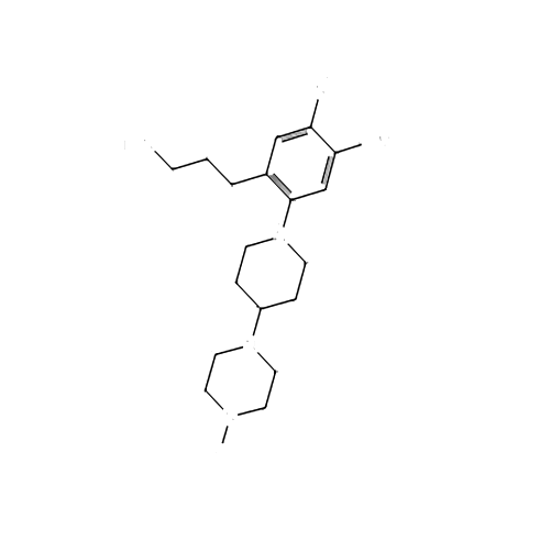 COc1cc(N2CCC(N3CCN(C)CC3)CC2)c(CCCN)cc1N